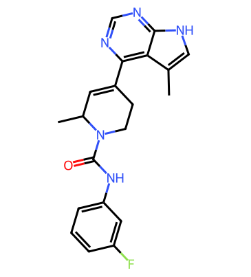 Cc1c[nH]c2ncnc(C3=CC(C)N(C(=O)Nc4cccc(F)c4)CC3)c12